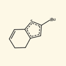 CCC(C)c1cc2c(s1)C=CCC2